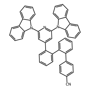 N#Cc1ccc(-c2ccccc2-c2ccccc2-c2cc(-n3c4ccccc4c4ccccc43)nc(-n3c4ccccc4c4ccccc43)c2)cc1